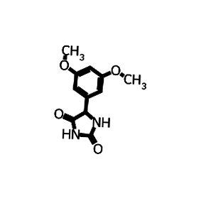 COc1cc(OC)cc(C2NC(=O)NC2=O)c1